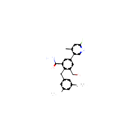 COc1cc(Cc2c(CBr)cc(-c3cnc(F)cc3C)cc2C(N)=O)cc(OC)c1